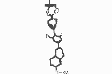 CCCCCCC1CCC2CC(c3cc(F)c(-c4ccc(C5=NC(C)(C)CO5)cc4)c(F)c3)CCC2C1